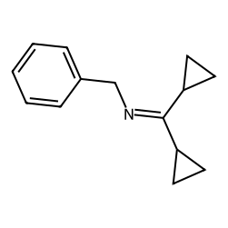 c1ccc(CN=C(C2CC2)C2CC2)cc1